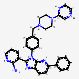 Nc1ncccc1-c1nc2ccc(-c3ccccc3)nc2n1-c1ccc(CN2CCN(c3cnccn3)CC2)cc1